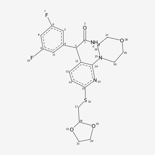 NC(=O)C(c1cc(F)cc(F)c1)c1ccc(SCC2OCCO2)nc1N1CCOCC1